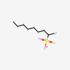 [Li][CH](CCCCCCC)S(=O)(=O)O